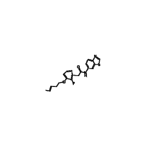 CC=CCCOc1cccc(CC(=O)Nc2ccc3ncsc3c2)c1F